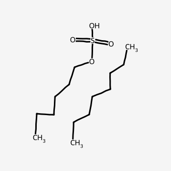 CCCCCCCC.CCCCCCOS(=O)(=O)O